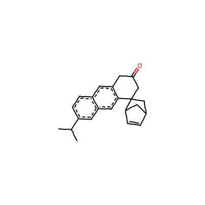 CC(C)c1ccc2cc3c(cc2c1)C1(CC(=O)C3)CC2C=CC1C2